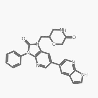 O=C1COC(Cn2c(=O)n(-c3ccccc3)c3ncc(-c4cnc5[nH]ccc5c4)cc32)CN1